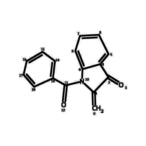 C=C1C(=O)c2ccccc2N1C(=O)c1ccccc1